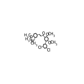 COc1ccc(C=CC(=O)c2cc(-c3cc(Cl)cc(Cl)c3)c(OC)cc2OC)cc1CN(C)C